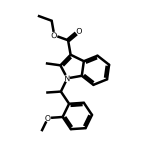 CCOC(=O)c1c(C)n(C(C)c2ccccc2OC)c2ccccc12